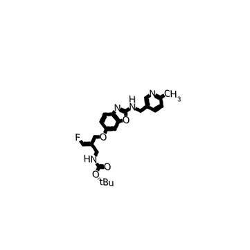 Cc1ccc(CNc2nc3ccc(OC/C(=C\F)CNC(=O)OC(C)(C)C)cc3o2)cn1